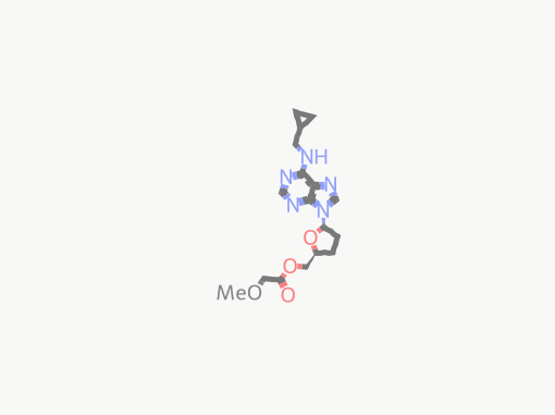 COCC(=O)OC[C@@H]1CC[C@H](n2cnc3c(NCC4CC4)ncnc32)O1